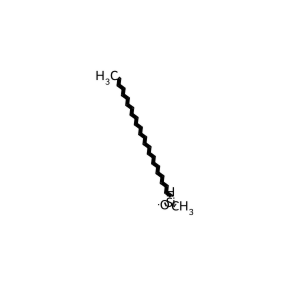 CCCCCCCCCCCCCCCCCCCCCCCCCC[SiH](C)[O]